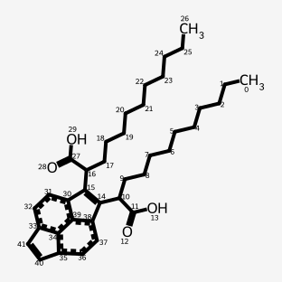 CCCCCCCCCCC(C(=O)O)C1=C(C(CCCCCCCCCC)C(=O)O)c2ccc3c4c(ccc1c24)C=C3